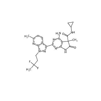 Cc1ccc2c(-c3nc(N)c4c(n3)NC(=O)C4(C)C(=O)NC3CC3)nn(CCC(C)(F)F)c2n1